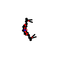 CCCCCCCCC1(CCCCCCC)c2ccccc2-c2ccc(-c3ccc4c(c3)C(C)(C)c3cc(-c5ccc6c(c5)Oc5cc(-c7ccc8c(c7)C(C)(C)c7cc(-c9ccc%10c(c9)C(CCCCCCCC)(CCCCCCCC)c9ccccc9-%10)ccc7-8)ccc5N6c5c(-c6ccc7c(c6)C(C)(C)c6ccccc6-7)cccc5-c5ccc6c(c5)C(C)(C)c5ccccc5-6)ccc3-4)cc21